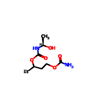 CCC(CCOC(N)=O)OC(=O)N[C@@H](C)O